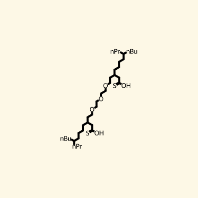 CCCCC(CCC)CCCCC(CCOCCOCCOCCC(CCCCC(CCC)CCCC)CC(O)=S)CC(O)=S